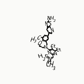 CCc1nc(CN(C)C)nc(N2CCOc3c(C)cc(-c4cnc5sc(N)nc5c4)cc3C2)c1CC